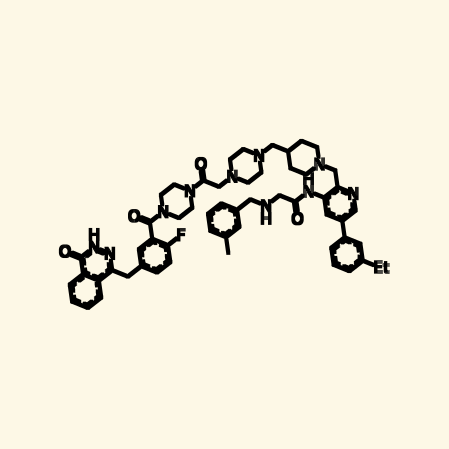 CCc1cccc(-c2cnc(CN3CCC(CN4CCN(CC(=O)N5CCN(C(=O)c6cc(Cc7n[nH]c(=O)c8ccccc78)ccc6F)CC5)CC4)CC3)c(NC(=O)CNCc3cccc(C)c3)c2)c1